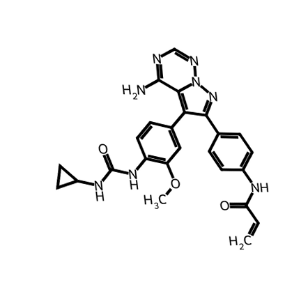 C=CC(=O)Nc1ccc(-c2nn3ncnc(N)c3c2-c2ccc(NC(=O)NC3CC3)c(OC)c2)cc1